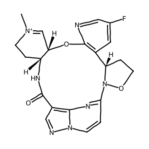 C[N+]1=C[C@@H]2Oc3ncc(F)cc3[C@@H]3CCON3c3ccn4ncc(c4n3)C(=O)N[C@@H]2CC1